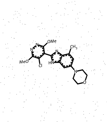 COc1nnc(OC)c(-c2nc3c(C)cc(N4CCOCC4)cc3[nH]2)c1Cl